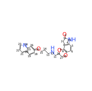 O=C1Cc2c(ccc3c2OC(CNCCCOc2ccc4cccnc4c2)CO3)N1